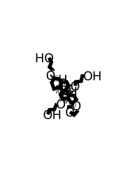 CC1([C@H]2CC[C@H]3[C@@H]4[C@H](OCCCO)C[C@@H]5C[C@H](OCCCO)CC[C@]5(C)[C@H]4C[C@H](OCCCO)[C@]23C)OCCO1